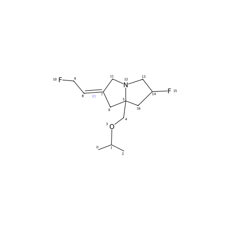 CC(C)OCC12C/C(=C/CF)CN1CC(F)C2